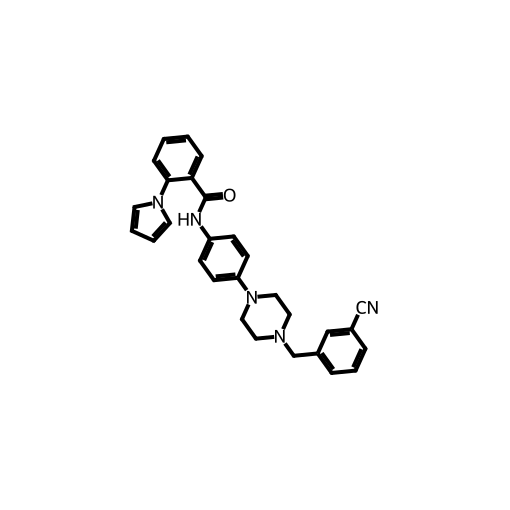 N#Cc1cccc(CN2CCN(c3ccc(NC(=O)c4ccccc4-n4cccc4)cc3)CC2)c1